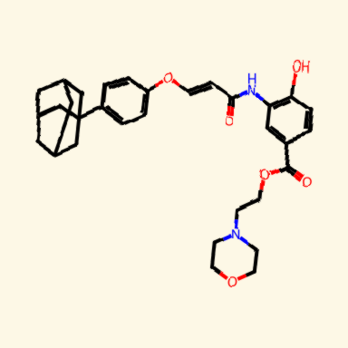 O=C(/C=C/Oc1ccc(C23CC4CC(CC(C4)C2)C3)cc1)Nc1cc(C(=O)OCCN2CCOCC2)ccc1O